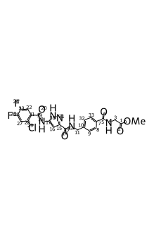 COC(=O)CNC(=O)c1ccc(CNC(=O)c2cc(NC(=O)c3cc(F)c(F)cc3Cl)[nH]n2)cc1